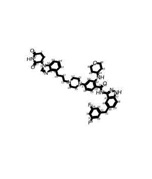 O=C1CCC(n2cnc3c(CCCN4CCN(c5ccc(C(=O)Nc6n[nH]c7ccc(Cc8cc(F)cc(F)c8)cc67)c(NC6CCOCC6)c5)CC4)cccc32)C(=O)N1